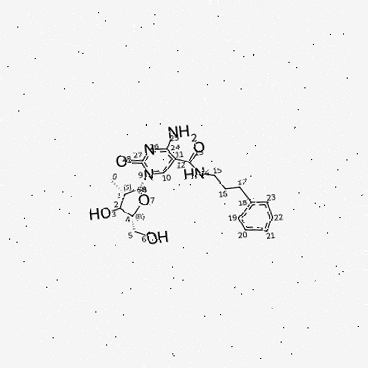 C[C@H]1C(O)[C@@H](CO)O[C@H]1n1cc(C(=O)NCCCc2ccccc2)c(N)nc1=O